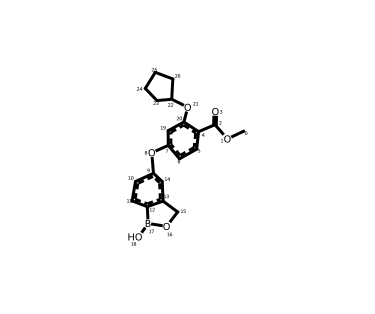 COC(=O)c1ccc(Oc2ccc3c(c2)COB3O)cc1OC1CCCC1